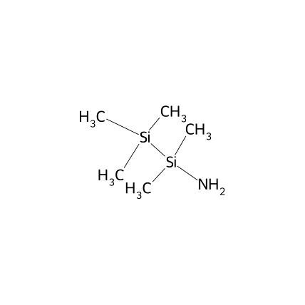 C[Si](C)(C)[Si](C)(C)N